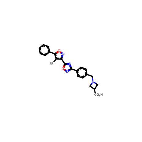 CCc1c(-c2nc(-c3ccc(CN4CC(C(=O)O)C4)cc3)no2)noc1-c1ccccc1